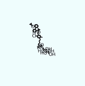 CCN(CCCCc1cc(Cl)c(COC2(c3cnccc3-c3ccccc3OC3CC3)CC2)cc1C)C(=O)NCC(O)C(O)C(O)C(O)CO